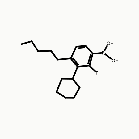 CCCCCc1ccc(B(O)O)c(F)c1C1CCCCC1